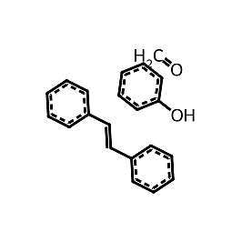 C(=C\c1ccccc1)/c1ccccc1.C=O.Oc1ccccc1